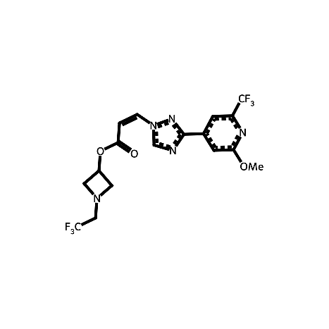 COc1cc(-c2ncn(/C=C\C(=O)OC3CN(CC(F)(F)F)C3)n2)cc(C(F)(F)F)n1